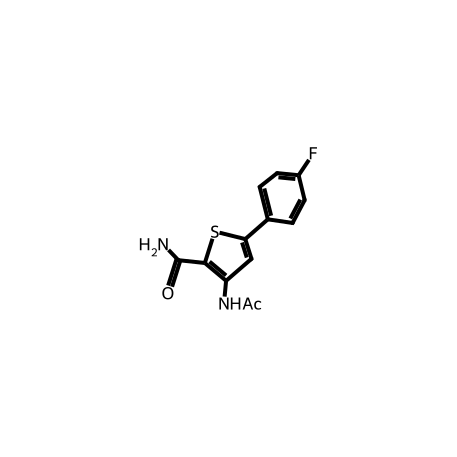 CC(=O)Nc1cc(-c2ccc(F)cc2)sc1C(N)=O